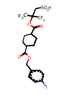 O=C(OCc1ccc(I)cc1)C1CCC(C(=O)OC(CS(=O)(=O)O)(C(F)(F)F)C(F)(F)F)CC1